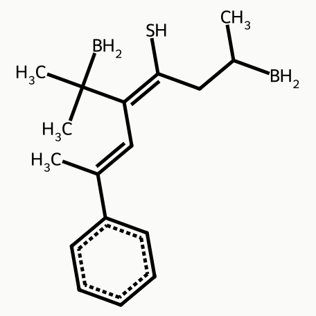 BC(C)C/C(S)=C(\C=C(/C)c1ccccc1)C(B)(C)C